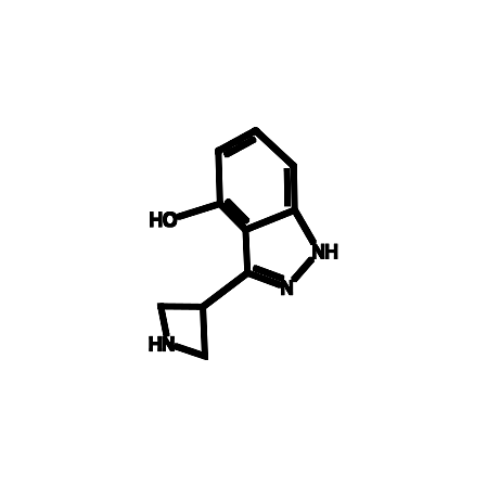 Oc1cccc2[nH]nc(C3CNC3)c12